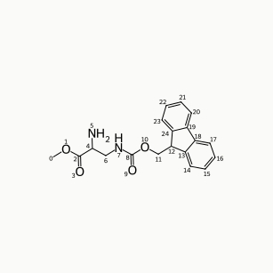 COC(=O)C(N)CNC(=O)OCC1c2ccccc2-c2ccccc21